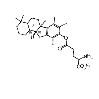 Cc1c(C)c2c(c(C)c1OC(=O)CCC(N)C(=O)O)C[C@H]1C2(C)CCC2C(C)(C)CCC[C@@]21C